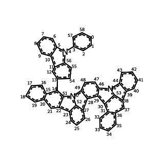 c1ccc(-n2c3ccccc3c3cc(-c4c5ccccc5cc5c6cccc7c8c9c%10c%11ccccc%11cc%11c%12ccccc%12n(c9ccc8n(c45)c67)c%11%10)ccc32)cc1